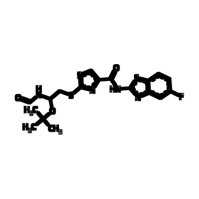 CC(C)(C)OC(CSc1nc(C(=O)Nc2nc3cc(F)ccc3s2)cs1)NC=O